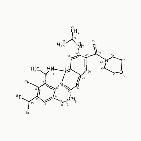 Cc1nc(NC(C)c2cc(N)cc(C(F)F)c2F)c2cc(NC(C)C)c(C(=O)N3CCOCC3)cc2n1